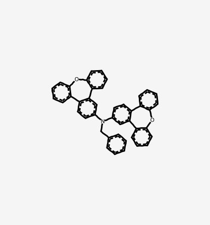 c1ccc(CN(c2ccc3c(c2)-c2ccccc2Oc2ccccc2-3)c2ccc3c(c2)-c2ccccc2Oc2ccccc2-3)cc1